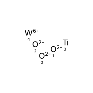 [O-2].[O-2].[O-2].[Ti].[W+6]